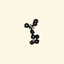 c1ccc(-c2nc(-c3ccc(-c4ccc(-n5c6ccccc6c6cccc(-c7ccccc7)c65)cc4)cc3)nc(-c3ccc4ccccc4c3)n2)cc1